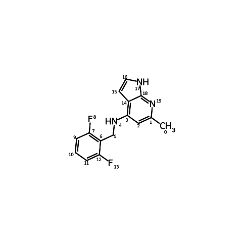 Cc1cc(NCc2c(F)cccc2F)c2cc[nH]c2n1